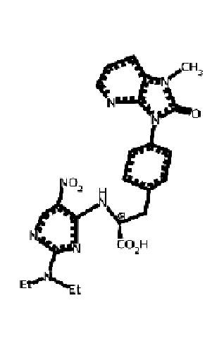 CCN(CC)c1ncc([N+](=O)[O-])c(N[C@@H](Cc2ccc(-n3c(=O)n(C)c4cccnc43)cc2)C(=O)O)n1